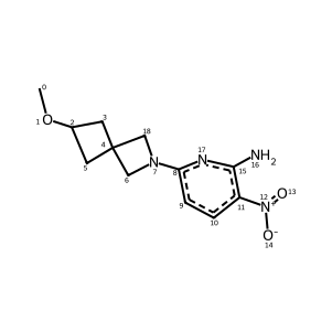 COC1CC2(C1)CN(c1ccc([N+](=O)[O-])c(N)n1)C2